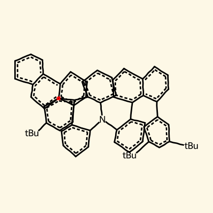 CC(C)(C)c1ccc(-c2ccccc2N(c2ccccc2-c2cccc3c2ccc2ccccc23)c2ccccc2-c2cccc3cccc(-c4cc(C(C)(C)C)cc(C(C)(C)C)c4)c23)cc1